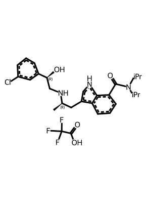 CC(C)N(C(=O)c1cccc2c(C[C@@H](C)NC[C@H](O)c3cccc(Cl)c3)c[nH]c12)C(C)C.O=C(O)C(F)(F)F